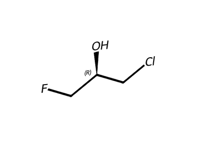 O[C@H](CF)CCl